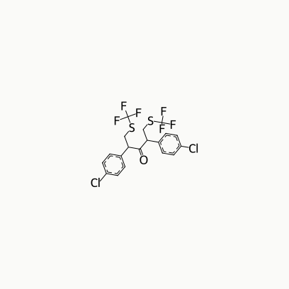 O=C(C(CSC(F)(F)F)c1ccc(Cl)cc1)C(CSC(F)(F)F)c1ccc(Cl)cc1